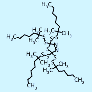 CCCCCCC(C)(C)SSC1(SSC(C)(C)CCCCC)N=NC(SSC(C)(C)CCCCC)(SSC(C)(C)CCCCCC)S1